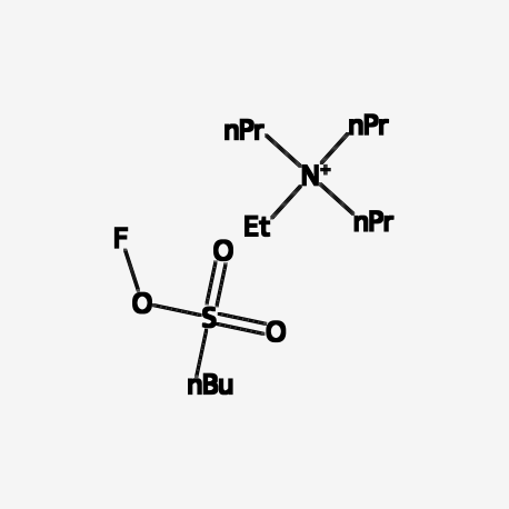 CCCCS(=O)(=O)OF.CCC[N+](CC)(CCC)CCC